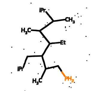 CCC(C(C)C(C)C(C)C)C(CC(C)C)C(C)CP